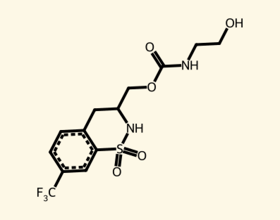 O=C(NCCO)OCC1Cc2ccc(C(F)(F)F)cc2S(=O)(=O)N1